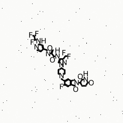 O=C1CCC(N2Cc3cc(CN4CCC(n5cc(NC(=O)c6coc(-c7ccnc(NC(F)C(F)F)c7)n6)c(C(F)F)n5)CC4)c(F)cc3C2=O)C(=O)N1